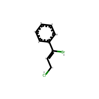 ClCC=C(Br)c1ccccc1